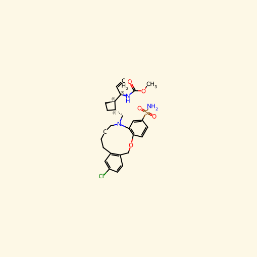 C=C[C@@H](NC(=O)OC)[C@@H]1CC[C@H]1CN1CCCCc2cc(Cl)ccc2COc2ccc(S(N)(=O)=O)cc21